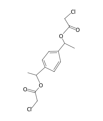 CC(OC(=O)CCl)c1ccc(C(C)OC(=O)CCl)cc1